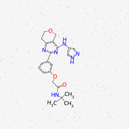 CC(C)(C)NC(=O)COc1cccc(-c2nc3c(c(Nc4cn[nH]c4)n2)COCC3)c1